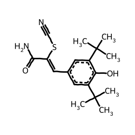 CC(C)(C)c1cc(C=C(SC#N)C(N)=O)cc(C(C)(C)C)c1O